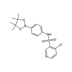 CC1(C)OB(c2ccc(NS(=O)(=O)c3cnccc3Cl)cc2)OC1(C)C